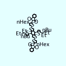 CCCCCCc1cc(-c2cc3c(-c4ccc(C(CC)C(CC)CCCC)s4)c4sc(-c5cc(CCCCCC)c(C6C(=O)c7ccccc7C6=O)s5)cc4c(-c4ccc(C(CC)C(CC)CCCC)s4)c3s2)sc1C1C(=O)c2ccccc2C1=O